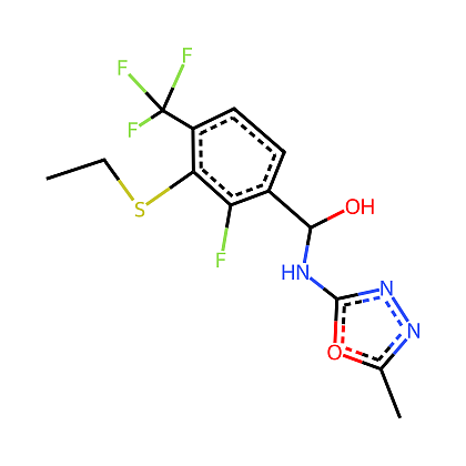 CCSc1c(C(F)(F)F)ccc(C(O)Nc2nnc(C)o2)c1F